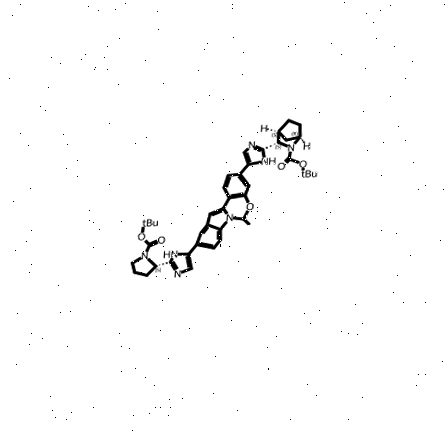 CC1Oc2cc(-c3cnc([C@@H]4[C@H]5CC[C@H](C5)N4C(=O)OC(C)(C)C)[nH]3)ccc2-c2cc3cc(-c4cnc([C@@H]5CCCN5C(=O)OC(C)(C)C)[nH]4)ccc3n21